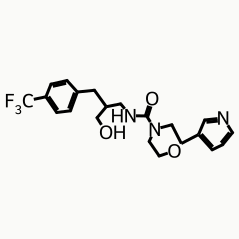 O=C(NCC(CO)Cc1ccc(C(F)(F)F)cc1)N1CCOC(c2cccnc2)C1